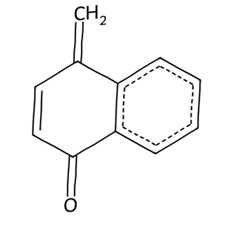 C=C1C=CC(=O)c2ccccc21